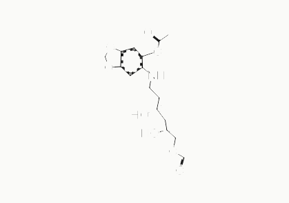 CC(=O)Oc1cc2c(cc1NCC[C@@H](O)C[C@H](O)COC=O)OCO2